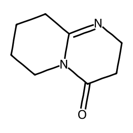 O=C1CCN=C2CCCCN12